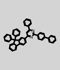 c1ccc(-c2ccc(-c3nc(-c4ccccc4)cc(-c4ccc5c(c4)C(c4ccccc4)(c4ccccc4)c4ccccc4-5)n3)cc2)cc1